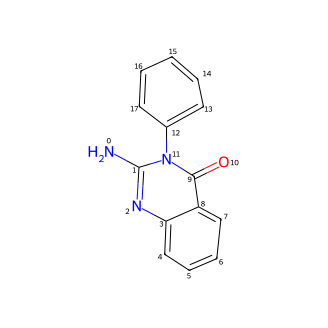 Nc1nc2ccccc2c(=O)n1-c1ccccc1